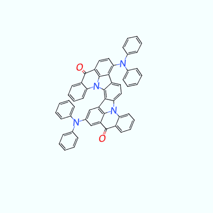 O=c1c2ccccc2n2c3ccc4c5c(N(c6ccccc6)c6ccccc6)ccc6c(=O)c7ccccc7n(c65)c4c3c3cc(N(c4ccccc4)c4ccccc4)cc1c32